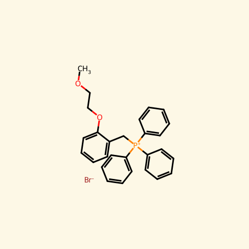 COCCOc1ccccc1C[P+](c1ccccc1)(c1ccccc1)c1ccccc1.[Br-]